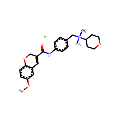 COc1ccc2c(c1)C=C(C(=O)Nc1ccc(C[N+](C)(C)C3CCOCC3)cc1)CO2.[Cl-]